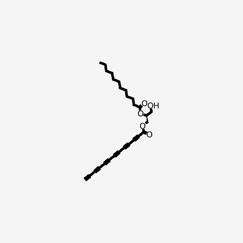 C#CC#CC#CC#CC#CC#CC(=O)OC[C@H](CO)OC(=O)CCCCCCCCCCC